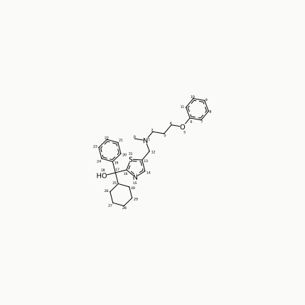 CN(CCCOc1ccccc1)Cc1cnc(C(O)(c2ccccc2)C2CCCCC2)s1